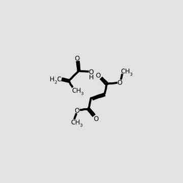 C=C(C)C(=O)O.COC(=O)/C=C/C(=O)OC